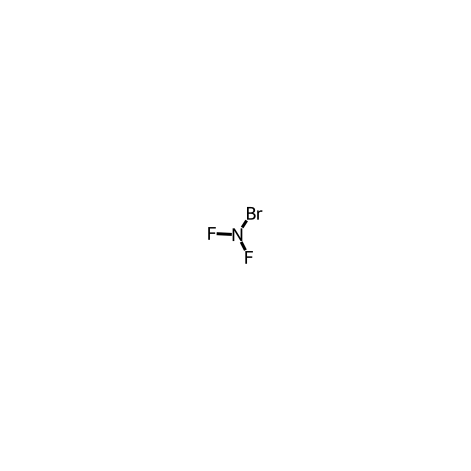 FN(F)Br